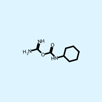 N=C(N)OC(=O)NC1CCCCC1